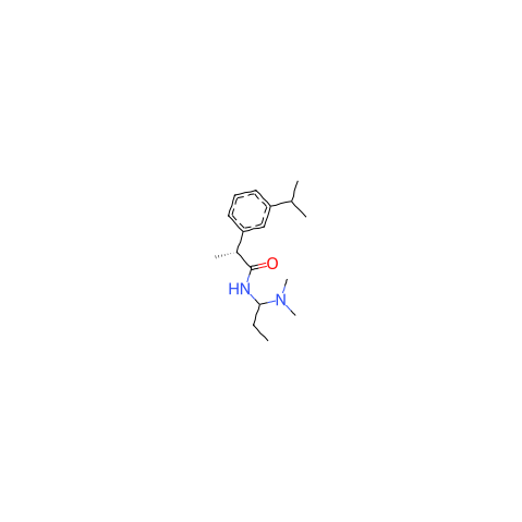 CCC(NC(=O)[C@H](C)c1cccc(C(C)C)c1)N(C)C